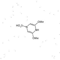 COC1=CN(S(=O)(=O)O)C=C(OC)N1